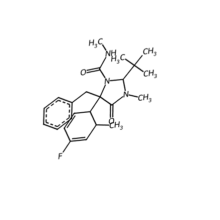 CNC(=O)N1C(C(C)(C)C)N(C)C(=O)C1(Cc1ccccc1)C1C=CC(F)=CC1C